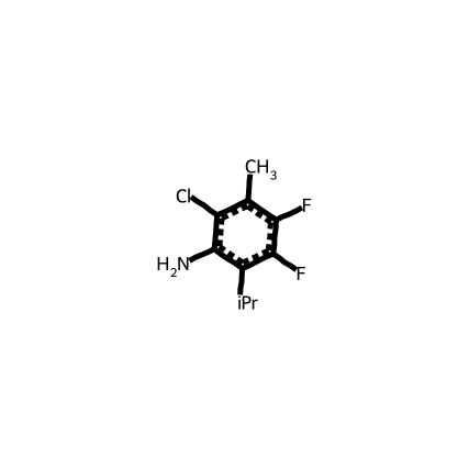 Cc1c(F)c(F)c(C(C)C)c(N)c1Cl